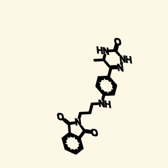 CC1NC(=O)NN=C1c1ccc(NCCCN2C(=O)c3ccccc3C2=O)cc1